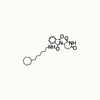 O=C1CCC(N2C(=O)c3cccc(NCCCCCCC4CCCCCC4)c3C2=O)C(=O)N1